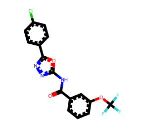 O=C(Nc1nnc(-c2ccc(Cl)cc2)o1)c1cccc(OC(F)(F)F)c1